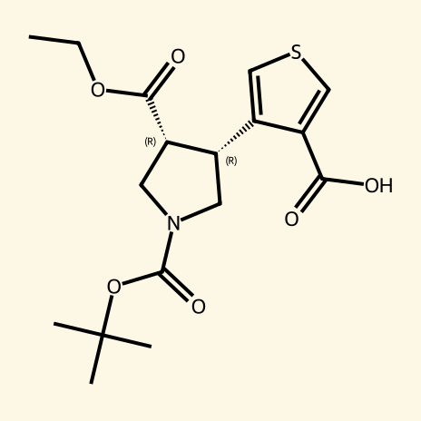 CCOC(=O)[C@H]1CN(C(=O)OC(C)(C)C)C[C@H]1c1cscc1C(=O)O